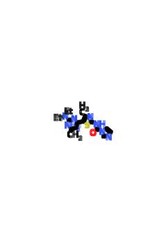 C=C/C=C(\N=C(/N)N(CC)CC)c1sc(NC(=O)n2ccnc2)nc1C